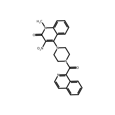 Cn1c(=O)c([N+](=O)[O-])c(N2CCN(C(=O)c3nccc4ccccc34)CC2)c2ccccc21